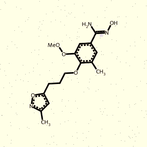 COOc1cc(/C(N)=N/O)cc(C)c1OCCCc1cc(C)no1